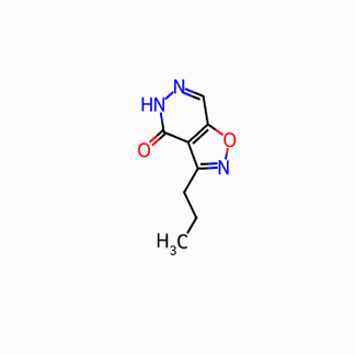 CCCc1noc2cn[nH]c(=O)c12